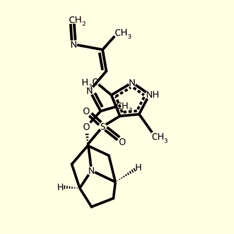 C=N/C(C)=C\N=C(/C)O[C@@H]1C[C@H]2CC[C@@H](C1)N2CS(=O)(=O)c1c(C)n[nH]c1C